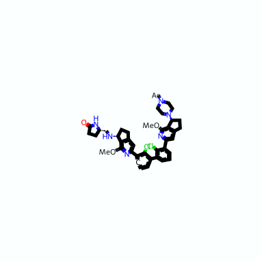 COc1nc(-c2cccc(-c3cccc(-c4cc5c(c(OC)n4)[C@@H](N4CCN(C(C)=O)CC4)CC5)c3Cl)c2Cl)cc2c1[C@H](NC[C@@H]1CCC(=O)N1)CC2